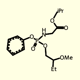 CCC(COP(=O)(NCC(=O)OC(C)C)Oc1ccccc1)OC